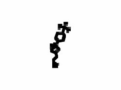 FC(F)(F)c1ccc(-n2cc(CCBr)cn2)cc1